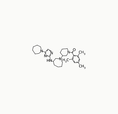 Cc1cc(C)c(C(=O)N2CCCC(N3CCCCC(Nc4nccc(N5CCCCCC5)n4)C3)C2)c(C)c1